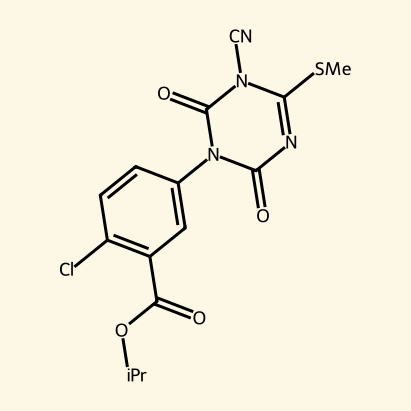 CSc1nc(=O)n(-c2ccc(Cl)c(C(=O)OC(C)C)c2)c(=O)n1C#N